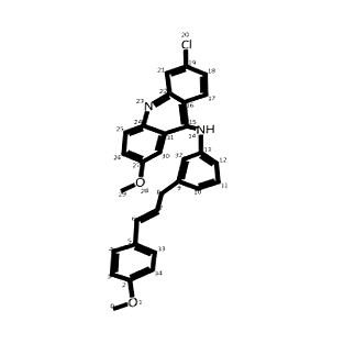 COc1ccc(C=CCc2cccc(Nc3c4ccc(Cl)cc4nc4ccc(OC)cc34)c2)cc1